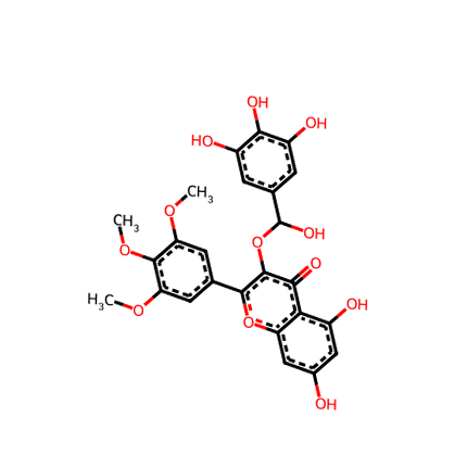 COc1cc(-c2oc3cc(O)cc(O)c3c(=O)c2OC(O)c2cc(O)c(O)c(O)c2)cc(OC)c1OC